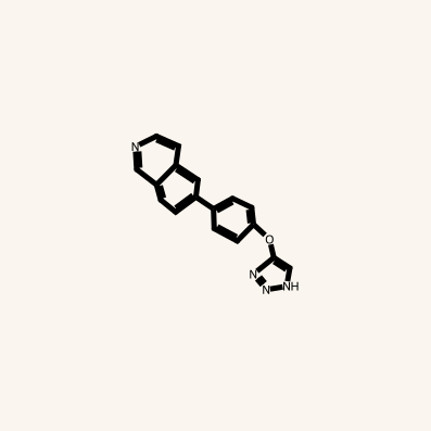 c1cc2cc(-c3ccc(Oc4c[nH]nn4)cc3)ccc2cn1